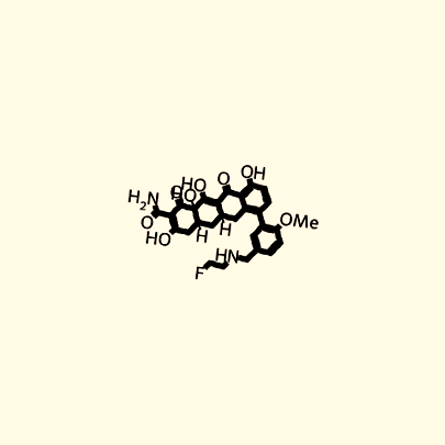 COc1ccc(CNCCF)cc1-c1ccc(O)c2c1C[C@H]1C[C@H]3CC(O)=C(C(N)=O)C(=O)[C@@]3(O)C(O)=C1C2=O